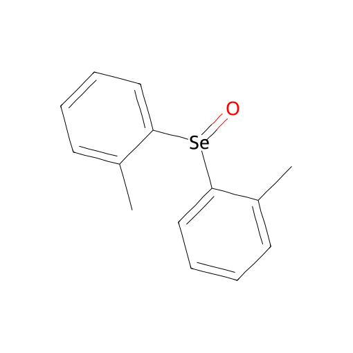 Cc1ccccc1[Se](=O)c1ccccc1C